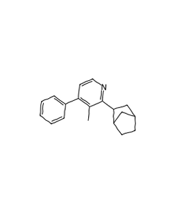 Cc1c(-c2ccccc2)ccnc1C1CC2CCC1C2